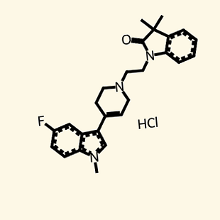 Cl.Cn1cc(C2=CCN(CCN3C(=O)C(C)(C)c4ccccc43)CC2)c2cc(F)ccc21